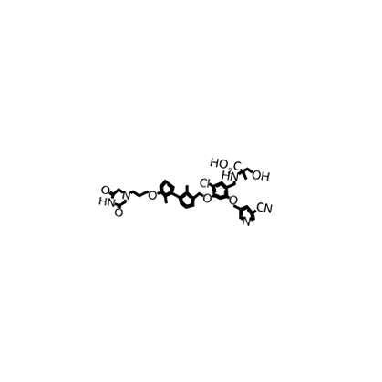 Cc1c(COc2cc(OCc3cncc(C#N)c3)c(CN[C@@](C)(CO)C(=O)O)cc2Cl)cccc1-c1cccc(OCCCN2CC(=O)NC(=O)C2)c1C